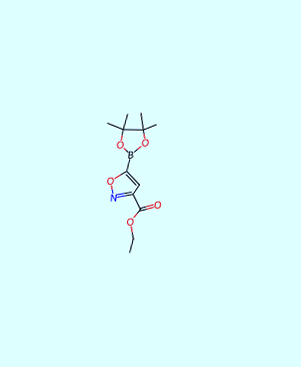 CCOC(=O)c1cc(B2OC(C)(C)C(C)(C)O2)on1